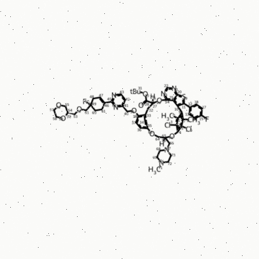 Cc1c(Cl)c2c(Cl)c(C)c1-c1c(-c3ccc(F)cc3)sc3ncnc(c13)O[C@@H](C(=O)OC(C)(C)C)Cc1cc(ccc1OCc1ccnc(C3=CC[C@@](F)(COC[C@@H]4COCCO4)CC3)n1)OC[C@@H](CN1CCN(C)CC1)O2